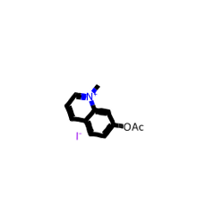 CC(=O)Oc1ccc2ccc[n+](C)c2c1.[I-]